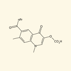 CCCC(=O)c1cc2c(=O)c(OC(=O)O)cn(C)c2cc1C